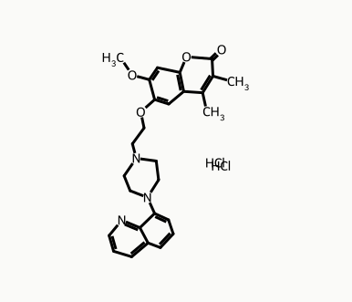 COc1cc2oc(=O)c(C)c(C)c2cc1OCCN1CCN(c2cccc3cccnc23)CC1.Cl.Cl